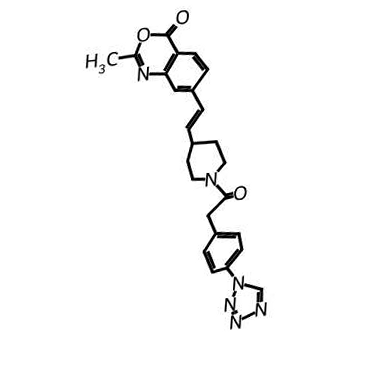 Cc1nc2cc(C=CC3CCN(C(=O)Cc4ccc(-n5cnnn5)cc4)CC3)ccc2c(=O)o1